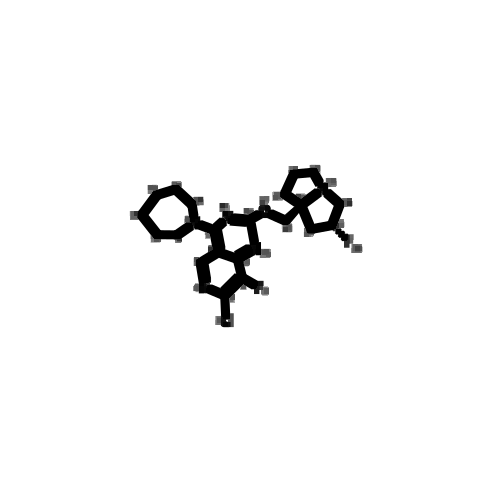 Fc1c(Cl)ncc2c(N3CCCCCC3)nc(OC[C@@]34CCCN3C[C@H](F)C4)nc12